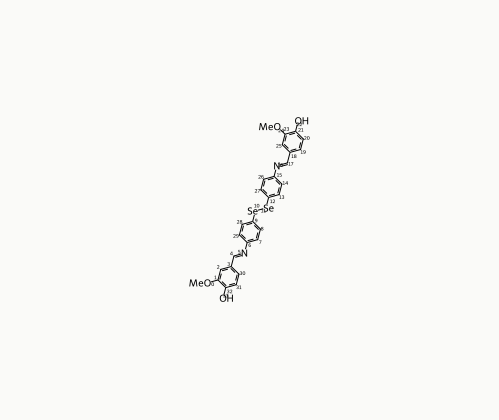 COc1cc(C=Nc2ccc([Se][Se]c3ccc(N=Cc4ccc(O)c(OC)c4)cc3)cc2)ccc1O